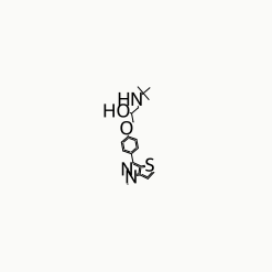 Cn1nc(-c2ccc(OCC(O)CNC(C)(C)C)cc2)c2sccc21